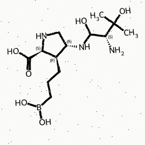 CC(C)(O)[C@H](N)C(O)N[C@H]1CN[C@H](C(=O)O)[C@@H]1CCCB(O)O